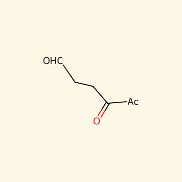 CC(=O)C(=O)CCC=O